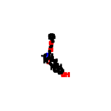 CC1=C2C[C@H]3[C@@H](CCC4=C[C@@H](O)CC[C@@]43C)[C@@H]2CC[C@@]2(C1)O[C@@H]1C[C@H](C)CN(CCOCCOCc3ccccc3)[C@H]1[C@H]2C